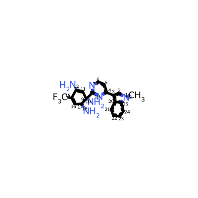 Cn1cc(-c2ccnc(C3(N)C=C(N)C(C(F)(F)F)=CC3N)n2)c2ccccc21